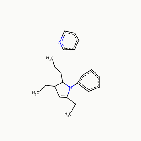 CCCC1C(CC)C=C(CC)N1c1ccccc1.c1ccncc1